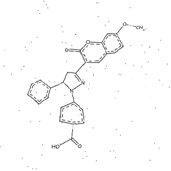 COc1ccc2cc(C3=NN(c4ccc(C(=O)O)cc4)C(c4ccccc4)C3)c(=O)oc2c1